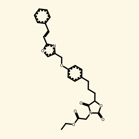 CCOC(=O)CN1C(=O)OC(CCCc2ccc(OCc3coc(C=Cc4ccccc4)n3)cc2)C1=O